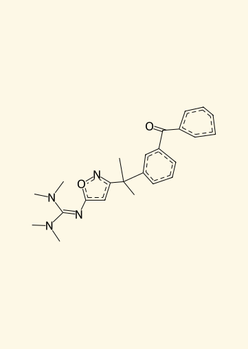 CN(C)C(=Nc1cc(C(C)(C)c2cccc(C(=O)c3ccccc3)c2)no1)N(C)C